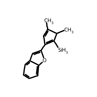 CC1=CC(c2cc3ccccc3o2)=C([SiH3])C1C